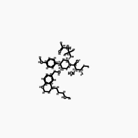 CC[C@H](C)[C@H](N)C(=O)N1C[C@H](OCc2ccc3c(c2)N(CCCOC)CCO3)[C@@H](c2ccc(OC)cc2)C[C@@H]1CC(C)(C)NC(C)=O